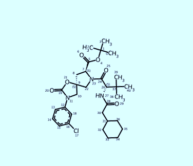 CC(C)(C)OC(=O)[C@@H]1C[C@@]2(CN(c3cccc(Cl)c3)C(=O)O2)CN1C(=O)[C@@H](NC(=O)CC1CCCCC1)C(C)(C)C